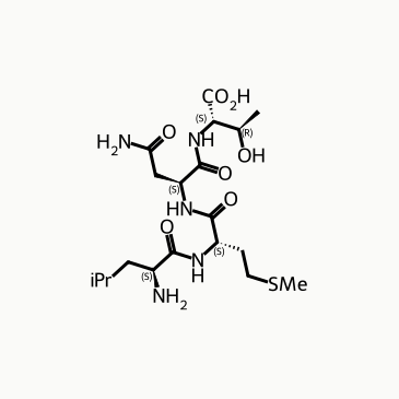 CSCC[C@H](NC(=O)[C@@H](N)CC(C)C)C(=O)N[C@@H](CC(N)=O)C(=O)N[C@H](C(=O)O)[C@@H](C)O